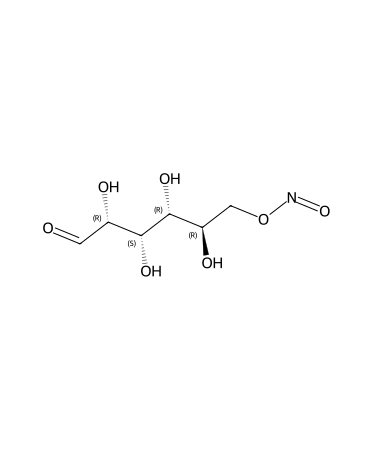 O=C[C@H](O)[C@@H](O)[C@H](O)[C@H](O)CON=O